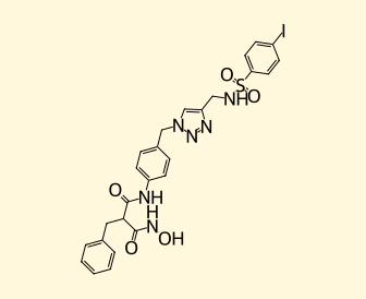 O=C(NO)C(Cc1ccccc1)C(=O)Nc1ccc(Cn2cc(CNS(=O)(=O)c3ccc(I)cc3)nn2)cc1